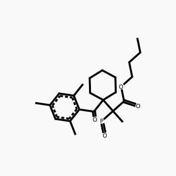 CCCCOC(=O)C(C)(P=O)C1(C(=O)c2c(C)cc(C)cc2C)CCCCC1